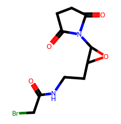 O=C(CBr)NCCC1OC1N1C(=O)CCC1=O